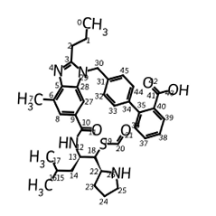 CCCc1nc2c(C)cc(C(=O)N[C@H](CC(C)C)C(SC=O)[C@@H]3CCCN3)cc2n1Cc1ccc(-c2ccccc2C(=O)O)cc1